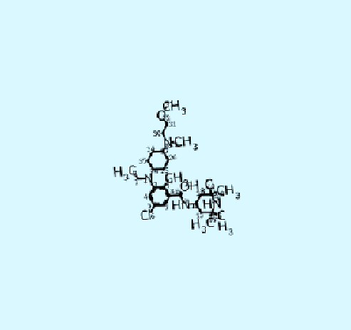 CCN(c1cc(Cl)cc(C(=O)NC2CC(C)(C)NC(C)(C)C2)c1C)[C@H]1CC[C@H](N(C)CCOC)CC1